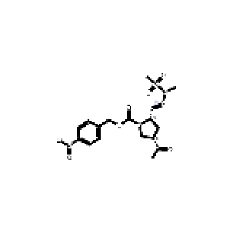 CC(=O)[C@H]1C[C@@H](/C=N/N(C)S(C)(=O)=O)N(C(=O)OCc2ccc([N+](=O)[O-])cc2)C1